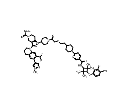 CNC(=O)N1CCc2c(c(N3CCCc4cc(-c5cnn(C)c5)c(C(F)F)cc43)nn2C2CCN(C(=O)COCCC3CCN(c4ncc(C(=O)NC5C(C)(C)C(Oc6ccc(C#N)c(Cl)c6)C5(C)C)cn4)CC3)CC2)C1